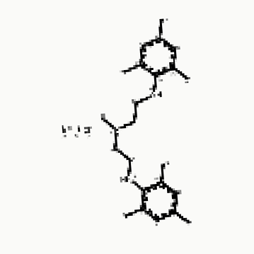 Cc1cc(C)c(NCCN(C)CCNc2c(C)cc(C)cc2C)c(C)c1.[Cl-].[Cl-].[Ir+2]